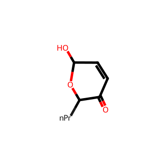 CCCC1OC(O)C=CC1=O